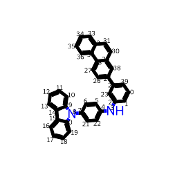 c1cc(Nc2ccc(-n3c4ccccc4c4ccccc43)cc2)cc(-c2ccc3c(ccc4ccccc43)c2)c1